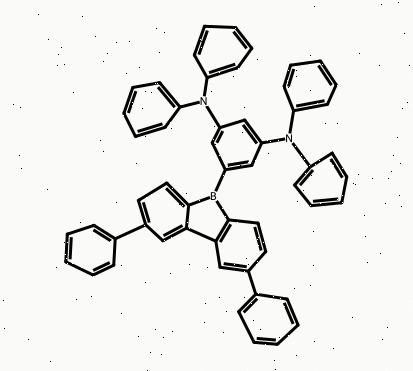 c1ccc(-c2ccc3c(c2)-c2cc(-c4ccccc4)ccc2B3c2cc(N(c3ccccc3)c3ccccc3)cc(N(c3ccccc3)c3ccccc3)c2)cc1